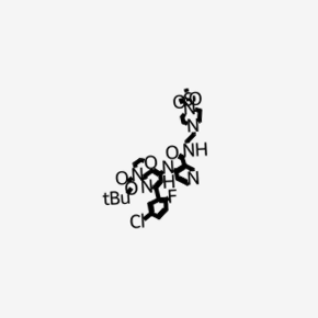 CC(C)(C)OC(=O)N1CCOc2c(Nc3ccncc3C(=O)NCCN3CCN(S(C)(=O)=O)CC3)cc(-c3cc(Cl)ccc3F)nc21